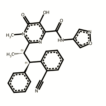 C[C@H](c1nc(C(=O)Nc2cnoc2)c(O)c(=O)n1C)[C@H](c1ccccc1)c1ccccc1C#N